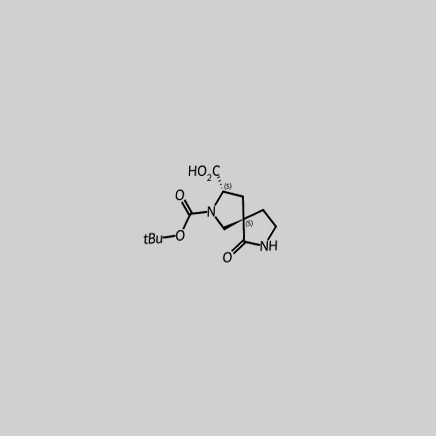 CC(C)(C)OC(=O)N1C[C@]2(CCNC2=O)C[C@H]1C(=O)O